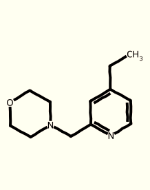 CCc1ccnc(CN2CCOCC2)c1